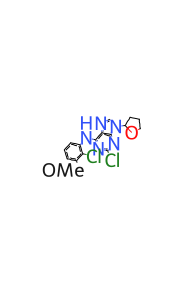 COc1cccc(Nc2nc(Cl)nc3c2ncn3C2CCCO2)c1Cl